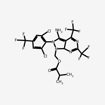 CC(C)C(=O)OCN1C2N=C(C(F)(F)F)N=C(C(F)(F)F)C2=C(N)N1c1c(Cl)cc(C(F)(F)F)cc1Cl